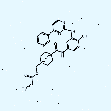 C=CC(=O)OCC12CCC(C(=O)Nc3ccc(C)c(Nc4nccc(-c5cccnc5)n4)c3)(CC1)CC2